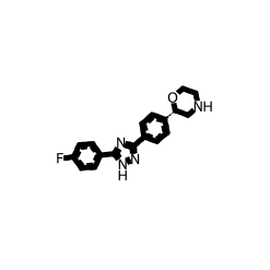 Fc1ccc(-c2nc(-c3ccc([C@H]4CNCCO4)cc3)n[nH]2)cc1